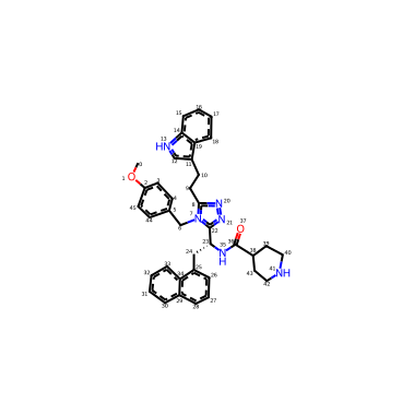 COc1ccc(Cn2c(CCc3c[nH]c4ccccc34)nnc2[C@@H](Cc2cccc3ccccc23)NC(=O)C2CCNCC2)cc1